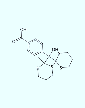 CC1(C(O)(c2ccc(C(=O)O)cc2)C2(C)SCCCS2)SCCCS1